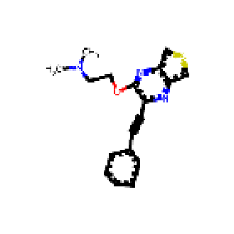 CN(C)CCOc1nc2cscc2nc1C#Cc1ccccc1